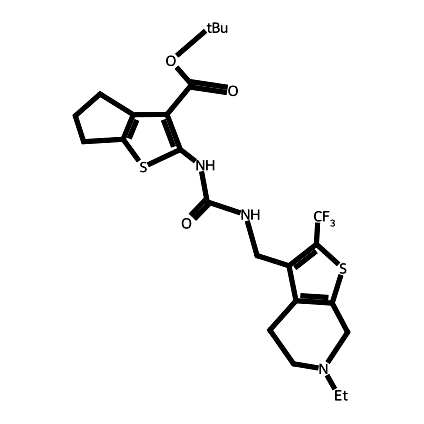 CCN1CCc2c(sc(C(F)(F)F)c2CNC(=O)Nc2sc3c(c2C(=O)OC(C)(C)C)CCC3)C1